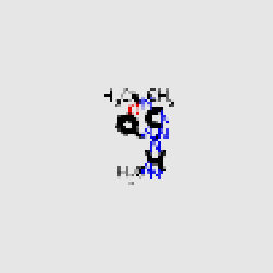 C=CC(=O)N(C)c1cnc2nc(N3Cc4cnn(C)c4C3)n(Cc3ccccc3)c2c1